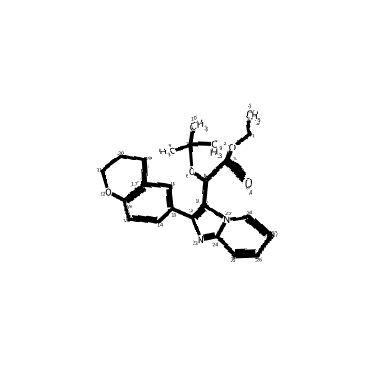 CCOC(=O)C(OC(C)(C)C)c1c(-c2ccc3c(c2)CCCO3)nc2ccccn12